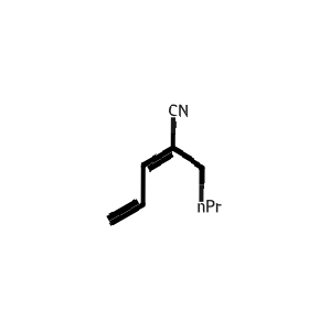 C=CC=C(C#N)CCCC